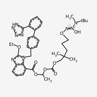 CCOc1nc2cccc(C(=O)OC(C)OC(=O)OCC(C)(C)CCCO/N=[N+](\O)N(C)C(C)(C)C)c2n1Cc1ccc(-c2ccccc2-c2nnn[nH]2)cc1